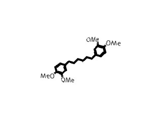 COc1ccc(CC[CH]CCCc2ccc(OC)c(OC)c2)cc1OC